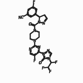 N#Cc1cc(F)cc(C2CC=NN2C(=O)N2CCN(c3ncc(F)c(-n4ncn(C(F)C(F)F)c4=O)n3)CC2)c1